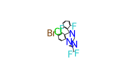 Fc1cccc(F)c1C1=NCc2nc(C(F)F)cn2-c2ccc(Br)c(Cl)c21